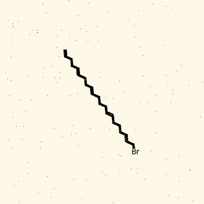 C=CCC/C=C/CC/C=C/CCC/C=C/CCC/C=C/CBr